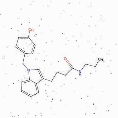 CCCNC(=O)CCCc1cn(Cc2ccc(O)cc2)c2ccccc12